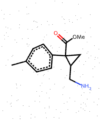 COC(=O)C1(c2ccc(C)cc2)CC1CN